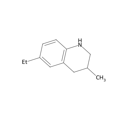 CCc1ccc2c(c1)CC(C)CN2